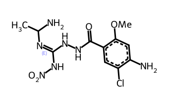 COc1cc(N)c(Cl)cc1C(=O)NN/C(=N\C(C)N)N[N+](=O)[O-]